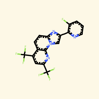 Fc1cccnc1-c1cn2c(ccc3c(C(F)(F)F)cc(C(F)(F)F)nc32)n1